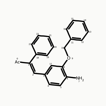 CC(=O)C(=Cc1ccc(N)c(OCc2ccccc2)c1)c1ccccc1